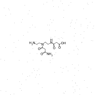 NCCN(CCNC(=O)CC(=O)O)C(=O)CC(N)=O